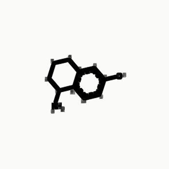 NC1CCCc2cc([O])ccc21